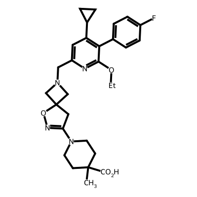 CCOc1nc(CN2CC3(CC(N4CCC(C)(C(=O)O)CC4)=NO3)C2)cc(C2CC2)c1-c1ccc(F)cc1